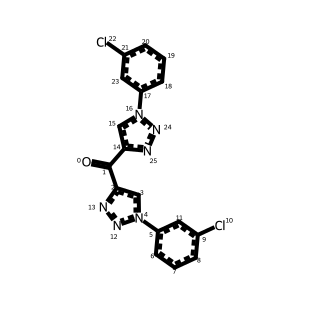 O=C(c1cn(-c2cccc(Cl)c2)nn1)c1cn(-c2cccc(Cl)c2)nn1